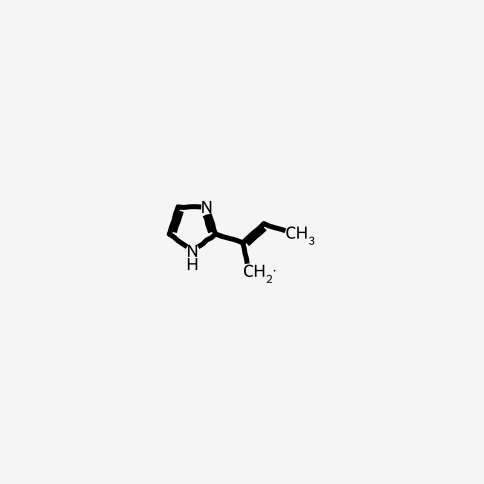 [CH2]C(=CC)c1ncc[nH]1